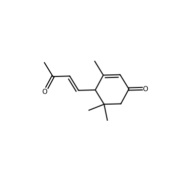 CC(=O)/C=C/C1C(C)=CC(=O)CC1(C)C